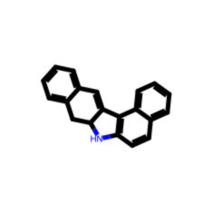 C1=C2c3c(ccc4ccccc34)NC2Cc2ccccc21